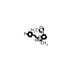 CC(NC(=O)C=Cc1ccc(F)cc1)c1cccc(N2CCO[C@@H](C)C2)c1